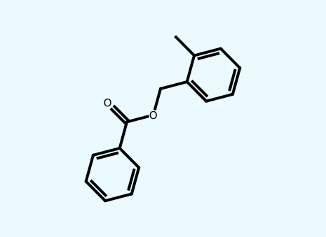 Cc1ccccc1COC(=O)c1ccccc1